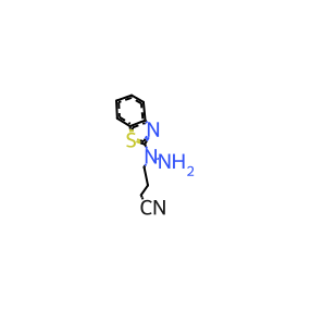 N#CCCCN(N)c1nc2ccccc2s1